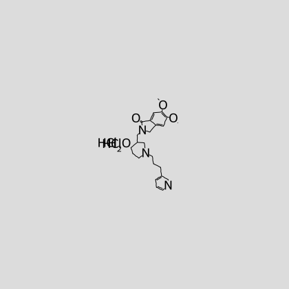 COc1cc2c(cc1OC)C(=O)N(CC1CCCN(CCCc3cccnc3)C1)C2.Cl.Cl.O